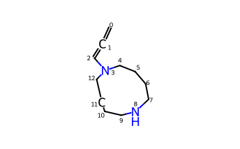 C=C=CN1CCCCNCCCC1